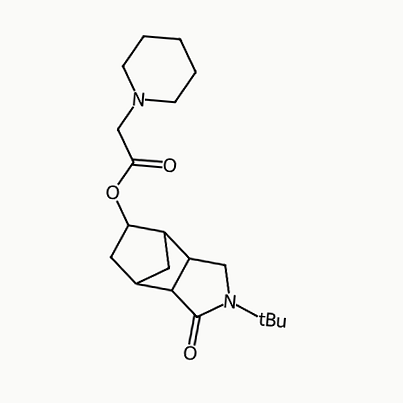 CC(C)(C)N1CC2C3CC(CC3OC(=O)CN3CCCCC3)C2C1=O